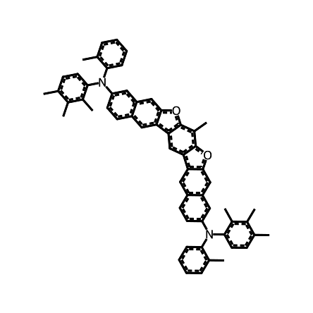 Cc1ccccc1N(c1ccc2cc3c(cc2c1)oc1c(C)c2oc4cc5cc(N(c6ccccc6C)c6ccc(C)c(C)c6C)ccc5cc4c2cc13)c1ccc(C)c(C)c1C